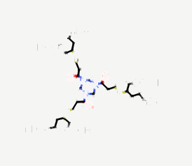 CCCCCCCCCCCCC(CC(=O)O)SCCC(=O)N1CN(C(=O)CCSC(CCCCCCCCCCCC)CC(=O)O)CN(C(=O)CCSC(CCCCCCCCCCCC)CC(=O)O)C1